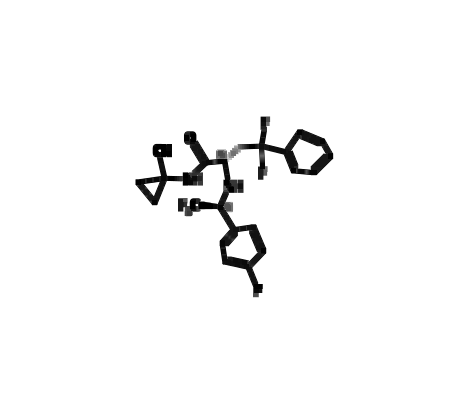 N#CC1(NC(=O)[C@H](CC(F)(F)c2ccccc2)N[C@@H](c2ccc(F)cc2)C(F)(F)F)CC1